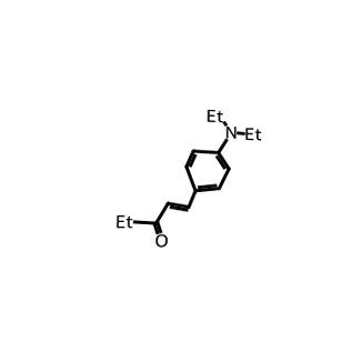 CCC(=O)C=Cc1ccc(N(CC)CC)cc1